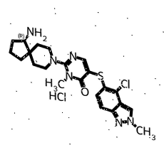 Cl.Cn1cc2c(Cl)c(Sc3cnc(N4CCC5(CCC[C@H]5N)CC4)n(C)c3=O)ccc2n1